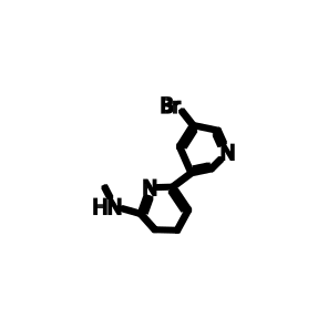 CNC1=NC(c2cncc(Br)c2)=CCC1